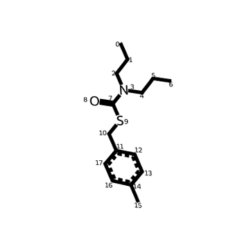 CCCN(CCC)C(=O)SCc1ccc(C)cc1